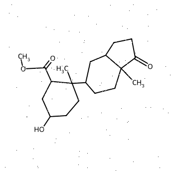 COC(=O)C1CC(O)CCC1(C)C1CCC2(C)C(=O)CCC2C1